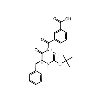 CC(C)(C)OC(=O)N[C@@H](Cc1ccccc1)C(=O)NC(=O)c1cccc(C(=O)O)c1